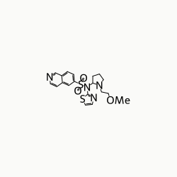 COCCN1CCCC1N(c1nccs1)S(=O)(=O)c1ccc2cnccc2c1